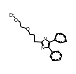 CCOCCOCCCC1=NC(c2ccccc2)=C(c2ccccc2)[N]1